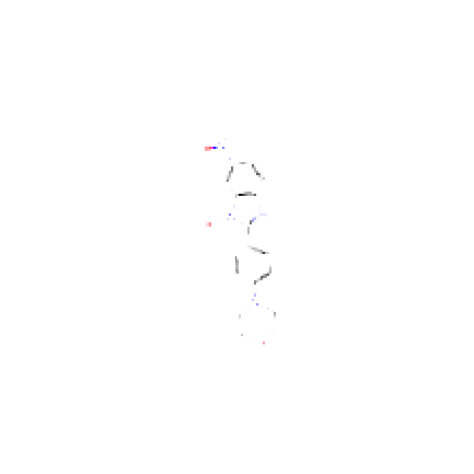 O=[N+]([O-])c1ccc2nc(-c3ccc(N4CCOCC4)cc3)n(O)c2c1